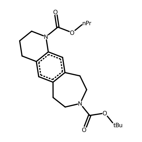 CCCOC(=O)N1CCCc2cc3c(cc21)CCN(C(=O)OC(C)(C)C)CC3